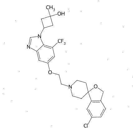 CC1(O)CC(n2cnc3cc(OCCN4CCC5(CC4)OCc4ccc(Cl)cc45)cc(C(F)(F)F)c32)C1